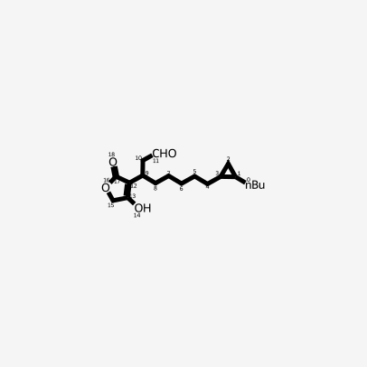 CCCCC1CC1CCCCCC(CC=O)C1=C(O)COC1=O